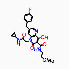 COCCNC(=O)c1c(O)c2ncc(Cc3ccc(F)cc3)cc2n(CC(=O)NC2CC2)c1=O